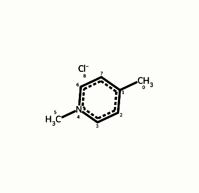 Cc1cc[n+](C)cc1.[Cl-]